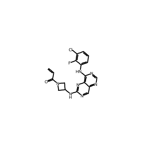 C=CC(=O)N1CC(Nc2ncc3ncnc(Nc4cccc(Cl)c4F)c3n2)C1